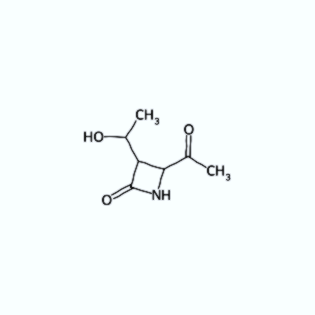 CC(=O)C1NC(=O)C1C(C)O